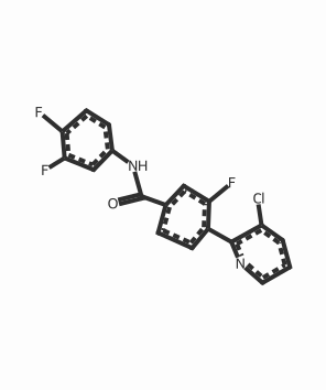 O=C(Nc1ccc(F)c(F)c1)c1ccc(-c2ncccc2Cl)c(F)c1